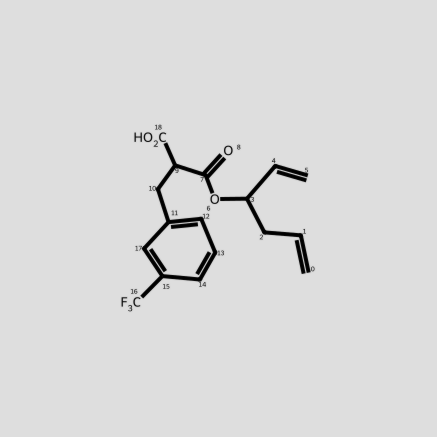 C=CCC(C=C)OC(=O)C(Cc1cccc(C(F)(F)F)c1)C(=O)O